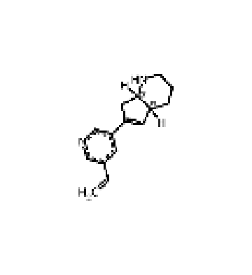 C=Cc1cncc(C2=C[C@H]3CCCN[C@H]3C2)c1